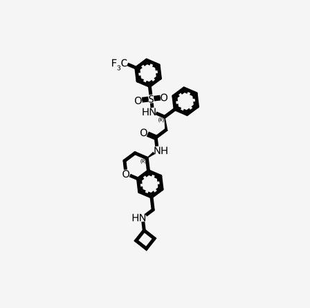 O=C(C[C@@H](NS(=O)(=O)c1cccc(C(F)(F)F)c1)c1ccccc1)N[C@@H]1CCOc2cc(CNC3CCC3)ccc21